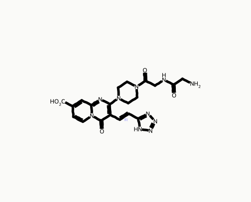 NCC(=O)NCC(=O)N1CCN(c2nc3cc(C(=O)O)ccn3c(=O)c2/C=C/c2nnn[nH]2)CC1